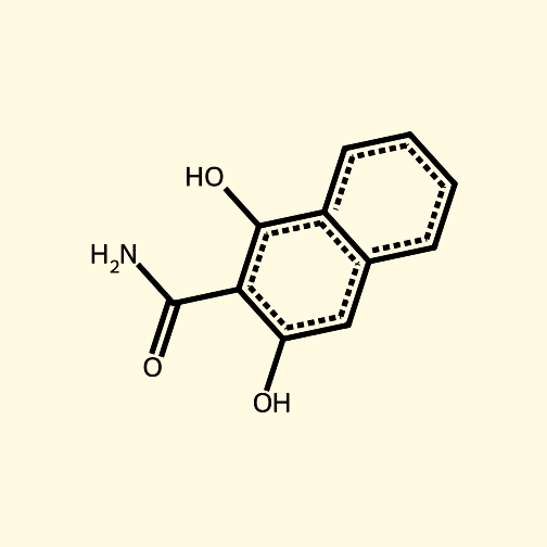 NC(=O)c1c(O)cc2ccccc2c1O